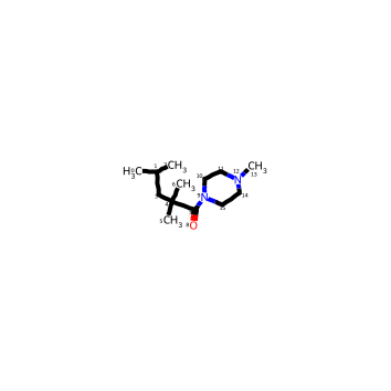 CC(C)CC(C)(C)C(=O)N1CCN(C)CC1